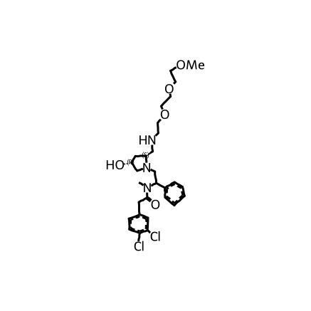 COCCOCCOCCNC[C@@H]1C[C@@H](O)CN1CC(c1ccccc1)N(C)C(=O)Cc1ccc(Cl)c(Cl)c1